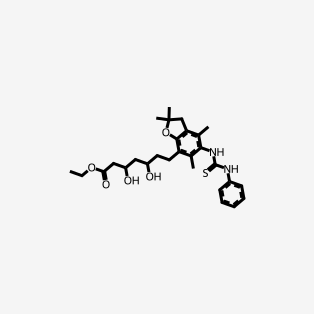 CCOC(=O)CC(O)CC(O)CCc1c(C)c(NC(=S)Nc2ccccc2)c(C)c2c1OC(C)(C)C2